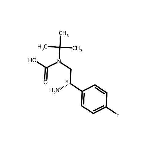 CC(C)(C)N(C[C@@H](N)c1ccc(F)cc1)C(=O)O